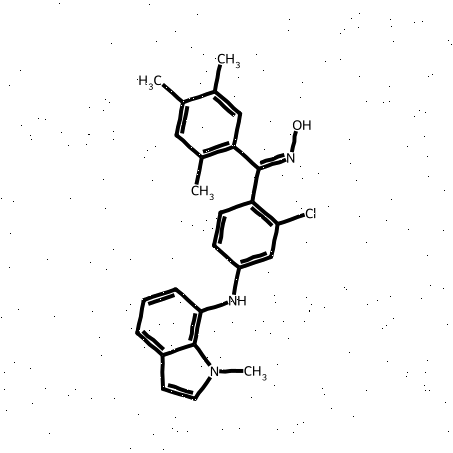 Cc1cc(C)c(C(=NO)c2ccc(Nc3cccc4ccn(C)c34)cc2Cl)cc1C